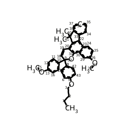 CCCCOc1ccc(C2(c3ccc(OC)cc3)C=Cc3c4c(c5ccc(OC)cc5c3O2)-c2ccccc2C4(C)C)cc1